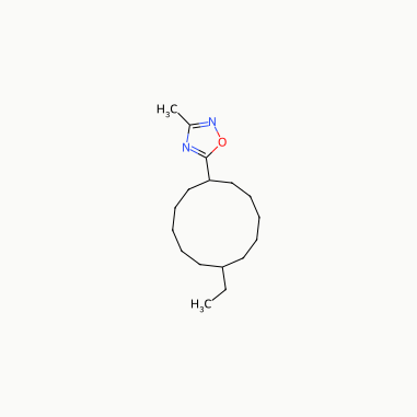 CCC1CCCCCC(c2nc(C)no2)CCCCC1